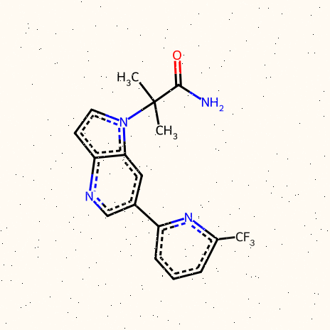 CC(C)(C(N)=O)n1ccc2ncc(-c3cccc(C(F)(F)F)n3)cc21